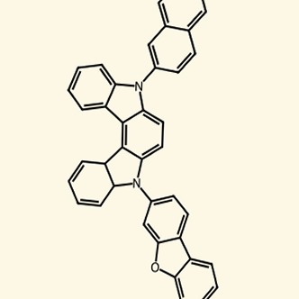 C1=CC2c3c(ccc4c3c3ccccc3n4-c3ccc4ccccc4c3)N(c3ccc4c(c3)oc3ccccc34)C2C=C1